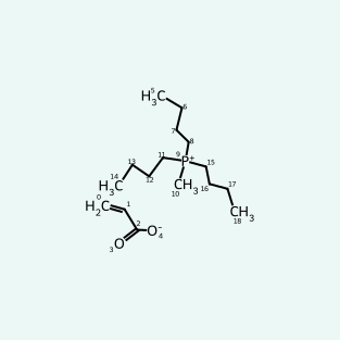 C=CC(=O)[O-].CCCC[P+](C)(CCCC)CCCC